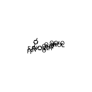 CCC(=O)OC(C)ON=[N+]([O-])N(C)C(C)(C)C(=O)NS(=O)(=O)c1ccc(-n2nc(C(F)(F)F)cc2-c2ccc(C)cc2)cc1